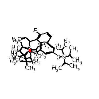 C=CC(c1c(F)ccc2cc(O[Si](C(C)C)(C(C)C)C(C)C)cc(B3OC(C)(C)C(C)(C)O3)c12)[Si](C(C)C)(C(C)C)C(C)C